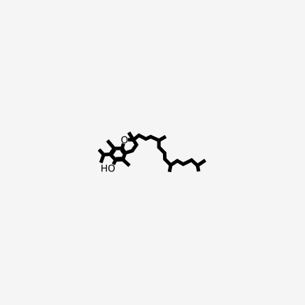 Cc1c(O)c(C(C)C)c(C)c2c1CCC(C)(CCCC(C)CCCC(C)CCCC(C)C)O2